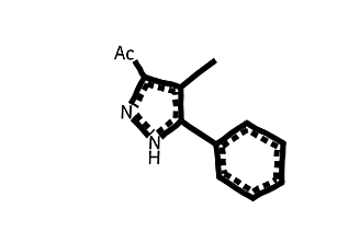 CC(=O)c1n[nH]c(-c2ccccc2)c1C